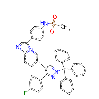 CS(=O)(=O)Nc1ccc(-c2cnc3ccc(-c4cn(C(c5ccccc5)(c5ccccc5)c5ccccc5)nc4-c4ccc(F)cc4)cn23)cc1